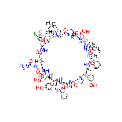 CCCC[C@H]1C(=O)N2CCC[C@@H]2C(=O)N[C@@H](CC(=O)O)C(=O)N[C@@H](C(C)C)C(=O)N(C)C(Cc2ccccc2)C(=O)N[C@@H](Cc2ccc(O)cc2)C2OC2N2CCCC2C(=O)N[C@@H](Cc2c[nH]c3ccccc23)C(=O)N[C@@H](Cc2ccc(O)cc2)C(=O)N[C@@H](CC(=O)O)C(=O)N[C@H](C(=O)NCC(N)=O)CSCC(=O)N[C@@H](Cc2cc(F)c(F)c(F)c2)C(=O)N(C)C(Cc2ccccc2)C(=O)N1C